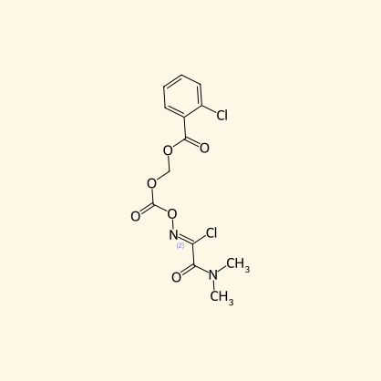 CN(C)C(=O)/C(Cl)=N/OC(=O)OCOC(=O)c1ccccc1Cl